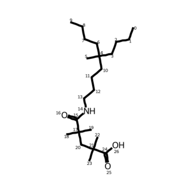 CCCCC(C)(CCCC)CCCCNC(=O)C(C)(C)CC(C)(C)C(=O)O